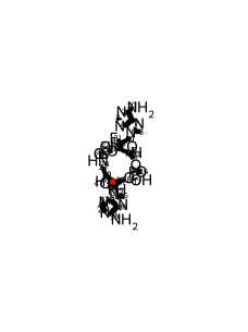 Nc1ncnc2c1ncn2[C@@H]1O[C@@H]2COP(=O)(O)O[C@@H]3[C@H](F)[C@@H](CNS(=O)(=O)O[C@H]2[C@H]1F)O[C@H]3n1cnc2c(N)ncnc21